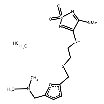 CNC1=NS(=O)(=O)N=C1NCCSCc1ccc(CN(C)C)o1.Cl.O